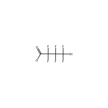 CCC(F)(F)C(F)(F)C(F)(F)C([O])=O